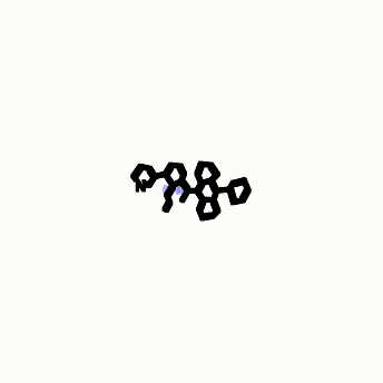 C=C/C=c1/c(-c2cccnc2)ccc/c1=C(/C)c1c2ccccc2c(-c2ccccc2)c2ccccc12